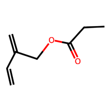 C=CC(=C)COC(=O)CC